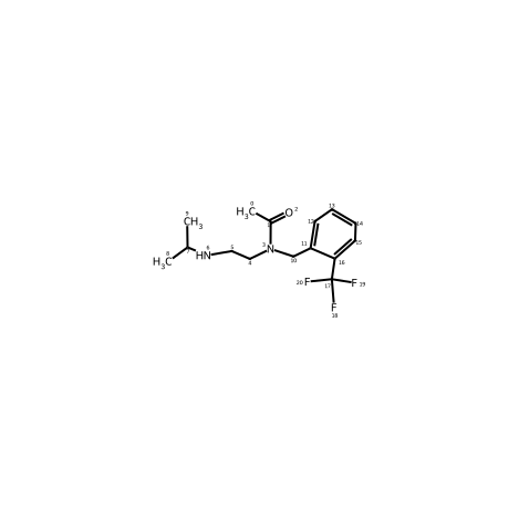 CC(=O)N(CCNC(C)C)Cc1ccccc1C(F)(F)F